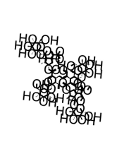 C=C[C@H]1[C@H](O[C@@H]2O[C@H](CO)[C@@H](O)[C@H](O)[C@H]2O)OC=C(C(=O)O[C@H]2C[C@@H]3C(C(=O)OC)=CO[C@@H](O[C@@H]4O[C@H](CO)[C@@H](O)[C@H](O)[C@H]4O)[C@@H]3[C@H]2C)[C@H]1C/C=C(\C=O)[C@@H]1C(C(=O)O[C@H]2C[C@@H]3C(C(=O)OC)=CO[C@@H](O[C@@H]4O[C@H](CO)[C@@H](O)[C@H](O)[C@H]4O)[C@@H]3[C@H]2C)=CO[C@@H](O[C@@H]2O[C@H](CO)[C@@H](O)[C@H](O)[C@H]2O)[C@@H]1C=C